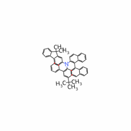 CC(C)(C)c1ccc(N(c2ccc3c(c2)C(C)(C)c2ccccc2-3)c2ccc3ccccc3c2-c2cccc3ccccc23)c(-c2ccccc2)c1